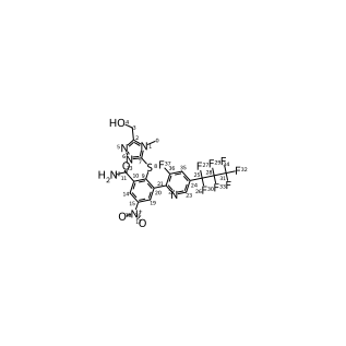 Cn1c(CO)nnc1Sc1c(C(N)=O)cc([N+](=O)[O-])cc1-c1ncc(C(F)(F)C(F)(F)C(F)(F)F)cc1F